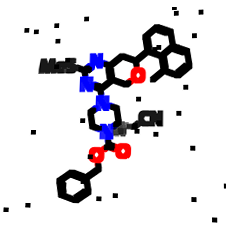 CSc1nc2c(c(N3CCN(C(=O)OCc4ccccc4)[C@@H](CC#N)C3)n1)COC(c1cccc3cccc(C)c13)C2